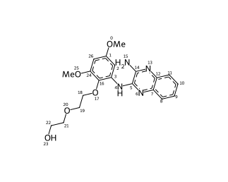 COc1cc(Nc2nc3ccccc3nc2N)c(OCCOCCO)c(OC)c1